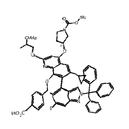 COC(C)COc1cc(O[C@H]2CCN(C(=O)OC(C)(C)C)C2)c2cc(C3CC3)c(-c3c(C)c(F)cc4nn(C(c5ccccc5)(c5ccccc5)c5ccccc5)cc34)c(OCc3ccc(C(=O)O)cc3)c2n1